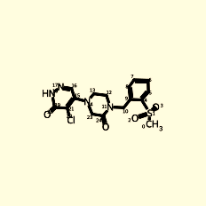 CS(=O)(=O)c1ccccc1CN1CCN(c2cn[nH]c(=O)c2Cl)CC1=O